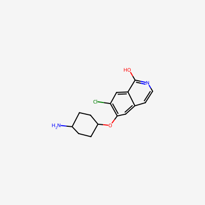 NC1CCC(Oc2cc3ccnc(O)c3cc2Cl)CC1